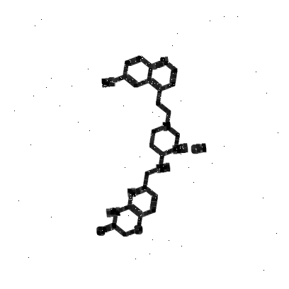 Cl.Cl.N#Cc1ccc2nccc(CCN3CCC(NCc4ccc5c(n4)NC(=O)CO5)CC3)c2c1